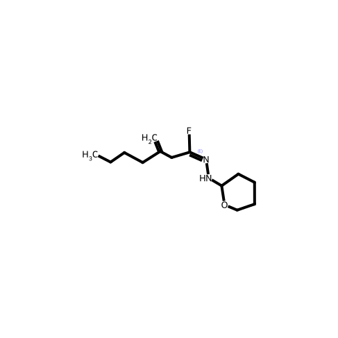 C=C(CCCC)C/C(F)=N\NC1CCCCO1